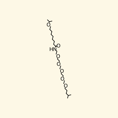 CC(C)CCCOCCOCCOCCOCCOCCNC(=O)CCCCCCCCOC(C)C